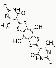 CC1=NC(=O)NC(=O)C1=C1Sc2c(O)c3c(c(O)c2S1)SC(=C1C(=O)NC(=O)N=C1C)S3